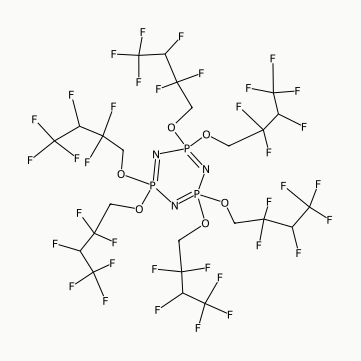 FC(C(F)(F)F)C(F)(F)COP1(OCC(F)(F)C(F)C(F)(F)F)=NP(OCC(F)(F)C(F)C(F)(F)F)(OCC(F)(F)C(F)C(F)(F)F)=NP(OCC(F)(F)C(F)C(F)(F)F)(OCC(F)(F)C(F)C(F)(F)F)=N1